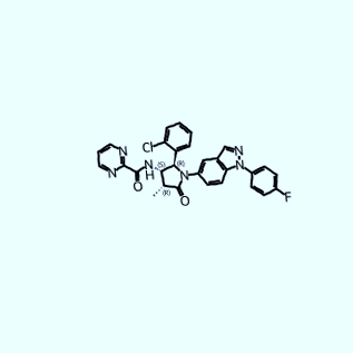 C[C@H]1C(=O)N(c2ccc3c(cnn3-c3ccc(F)cc3)c2)[C@H](c2ccccc2Cl)[C@H]1NC(=O)c1ncccn1